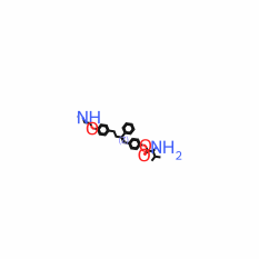 CNCCOc1ccc(CC/C(=C/c2ccc(OC(=O)C(N)C(C)C)cc2)c2ccccc2)cc1